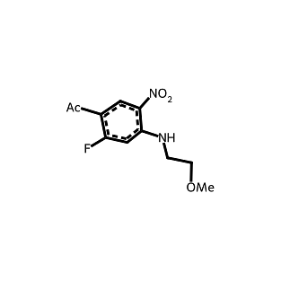 COCCNc1cc(F)c(C(C)=O)cc1[N+](=O)[O-]